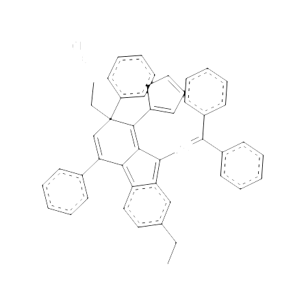 CCc1ccc2c(c1)=[C]([Zr+2]=[C](c1ccccc1)c1ccccc1)C1=C(C3=CC=CC3)C(CC)(c3ccccc3)C=C(c3ccccc3)C=21.[Cl-].[Cl-]